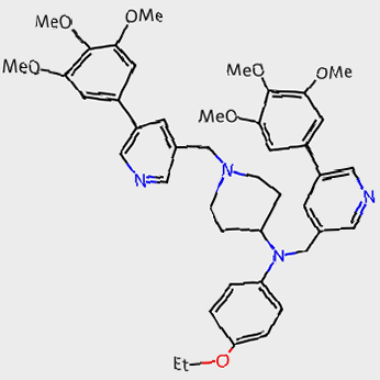 CCOc1ccc(N(Cc2cncc(-c3cc(OC)c(OC)c(OC)c3)c2)C2CCN(Cc3cncc(-c4cc(OC)c(OC)c(OC)c4)c3)CC2)cc1